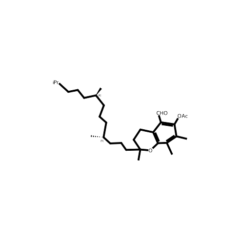 CC(=O)Oc1c(C)c(C)c2c(c1C=O)CCC(C)(CCC[C@H](C)CCC[C@H](C)CCCC(C)C)O2